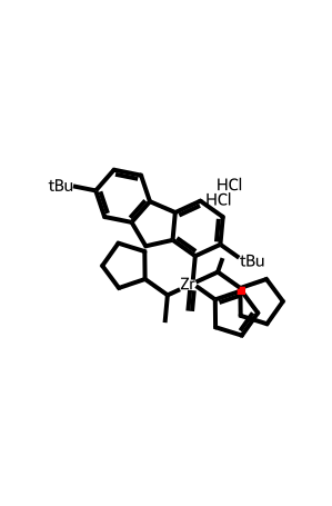 Cl.Cl.[CH2]=[Zr]([C]1=CC=CC1)([c]1c(C(C)(C)C)ccc2c1Cc1cc(C(C)(C)C)ccc1-2)([CH](C)C1CCCC1)[CH](C)C1CCCC1